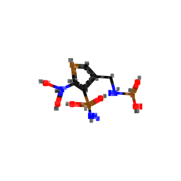 NS(=O)(=O)c1c(CNS(=O)O)csc1[N+](=O)[O-]